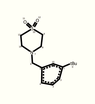 CC(C)(C)c1cccc(CN2CCS(=O)(=O)CC2)c1